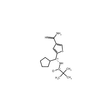 CC(C)(C)[S+]([O-])N[C@@H](c1cc(C(=N)N)cs1)C1CCCC1